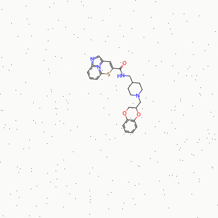 O=C(NCC1CCN(CC2COc3ccccc3O2)CC1)C1=Cc2cnc3cccc(n23)S1